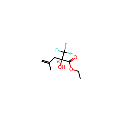 C=C(C)C[C@@](O)(C(=O)OCC)C(F)(F)F